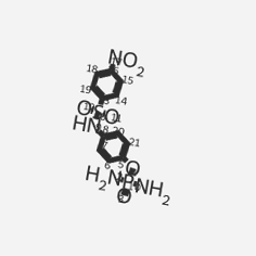 NP(N)(=O)Oc1ccc(NS(=O)(=O)c2ccc([N+](=O)[O-])cc2)cc1